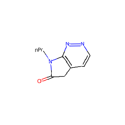 CCCN1C(=O)Cc2ccnnc21